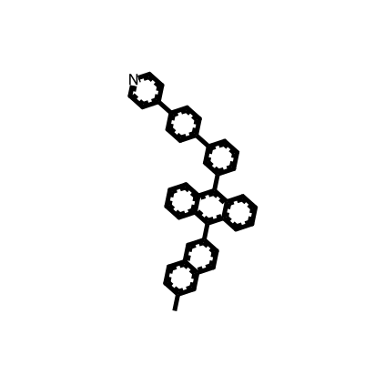 Cc1ccc2cc(-c3c4ccccc4c(-c4cccc(-c5ccc(-c6ccncc6)cc5)c4)c4ccccc34)ccc2c1